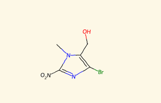 Cn1c([N+](=O)[O-])nc(Br)c1CO